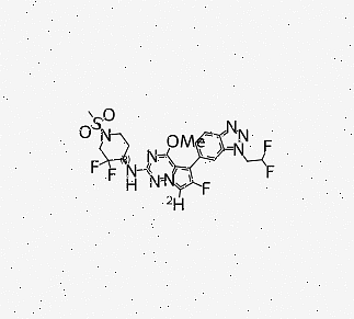 [2H]c1c(F)c(-c2ccc3nnn(CC(F)F)c3c2)c2c(OC)nc(N[C@@H]3CCN(S(C)(=O)=O)CC3(F)F)nn12